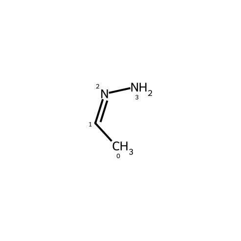 C/C=N\N